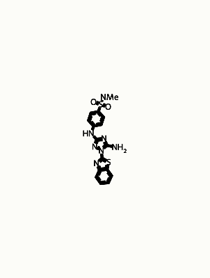 CNS(=O)(=O)c1ccc(Nc2nc(N)n(-c3nc4ccccc4s3)n2)cc1